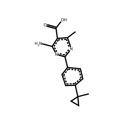 Cc1nc(-c2ccc(C3(C)CC3)cc2)nc(N)c1C(=O)O